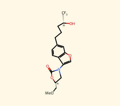 COC[C@H]1CN(c2coc3cc(CCC[C@@H](O)C(F)(F)F)ccc23)C(=O)O1